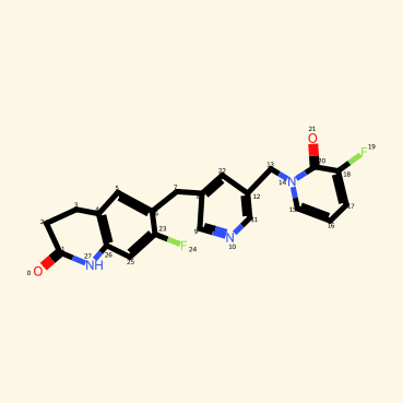 O=C1CCc2cc(Cc3cncc(Cn4cccc(F)c4=O)c3)c(F)cc2N1